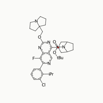 CC(C)c1c(Cl)cccc1-c1ncc2c(N3CC4CCC(C3)N4C(=O)OC(C)(C)C)nc(OCC34CCCN3CCC4)nc2c1F